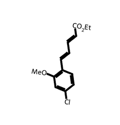 CCOC(=O)/C=C/C=C/c1ccc(Cl)cc1OC